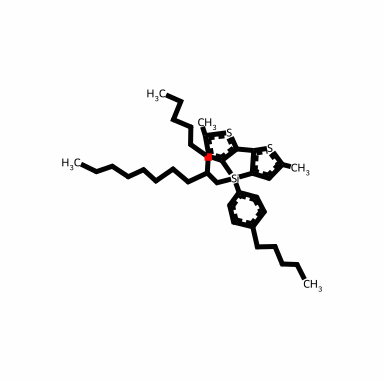 CCCCCCCCC(CCCCCC)C[Si]1(c2ccc(CCCCC)cc2)c2cc(C)sc2-c2sc(C)cc21